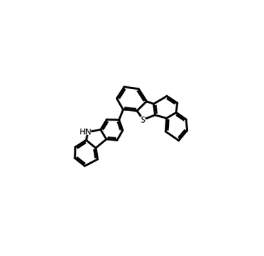 c1ccc2c(c1)ccc1c3cccc(-c4ccc5c(c4)[nH]c4ccccc45)c3sc21